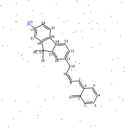 C=c1cccc/c1=C/C=C\Cc1ccc2c(c1)C(C)(C)c1cc(I)ccc1-2